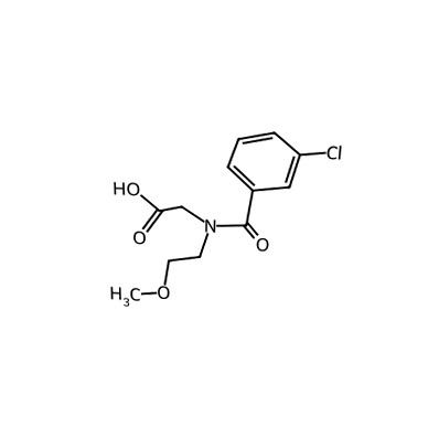 COCCN(CC(=O)O)C(=O)c1cccc(Cl)c1